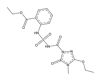 CCOC(=O)c1ccccc1NS(=O)(=O)NC(=O)n1nc(OCC)n(C)c1=O